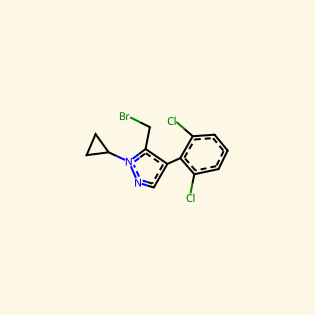 Clc1cccc(Cl)c1-c1cnn(C2CC2)c1CBr